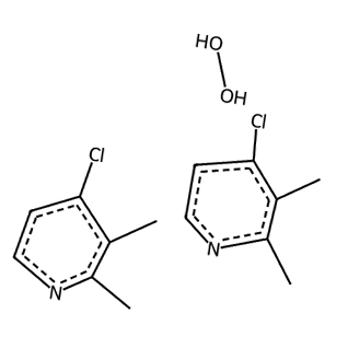 Cc1nccc(Cl)c1C.Cc1nccc(Cl)c1C.OO